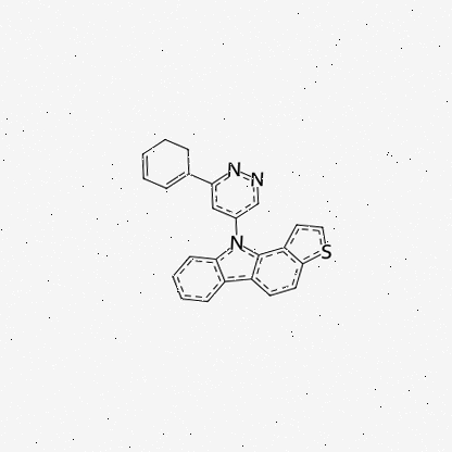 C1=CCCC(c2cc(-n3c4ccccc4c4ccc5sccc5c43)cnn2)=C1